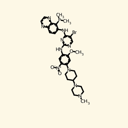 COc1cc(N2CCC(N3CCN(C)CC3)CC2)c([N+](=O)[O-])cc1Nc1ncc(Br)c(Nc2ccc3nccnc3c2P(C)C)n1